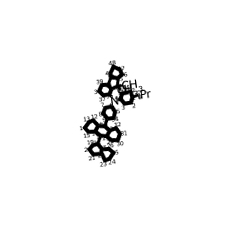 CC(C)c1ccc(N(c2ccc(-c3c4ccccc4c(-c4cccc5ccccc45)c4ccccc34)cc2)c2cccc3c2C(C)(C)c2ccccc2-3)cc1